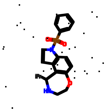 CC(C)C1NCCOc2ccc3c(ccn3S(=O)(=O)c3ccccc3)c21